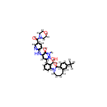 Cn1nc(-c2cccc(N3CCCCc4cc(C(C)(C)C)ccc4C3=O)c2CO)cc(Nc2ccc(C(=O)N3CCOCC3)cn2)c1=O